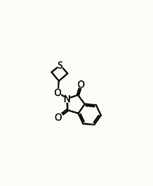 O=C1c2ccccc2C(=O)N1OC1CSC1